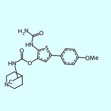 COc1ccc(-c2cc(OC(=O)NC3CN4CCC3CC4)c(NC(N)=O)s2)cc1